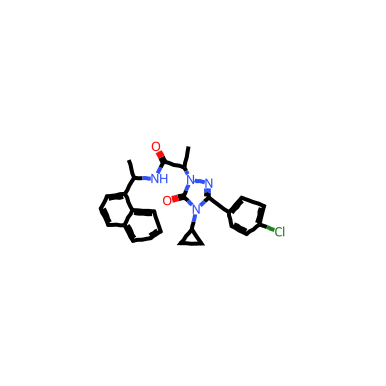 CC(NC(=O)C(C)n1nc(-c2ccc(Cl)cc2)n(C2CC2)c1=O)c1cccc2ccccc12